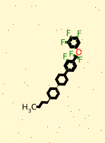 CCCC[C@H]1CC[C@H](C2CCC(c3ccc(C(F)(F)Oc4cc(F)c(F)c(F)c4)c(F)c3)CC2)CC1